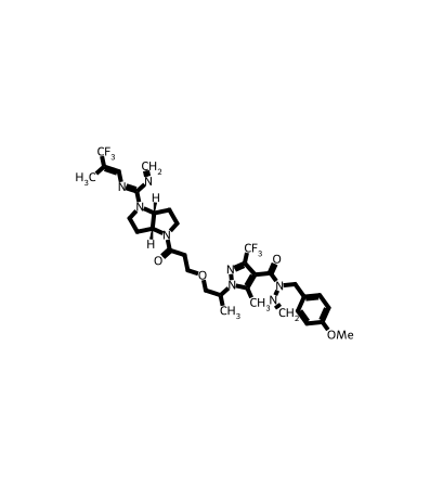 C=N/C(=N\C=C(/C)C(F)(F)F)N1CC[C@@H]2[C@H]1CCN2C(=O)CCOCC(C)n1nc(C(F)(F)F)c(C(=O)N(Cc2ccc(OC)cc2)N=C)c1C